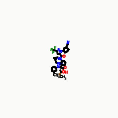 CSCC[C@@](C(=O)O)(c1cccc(NC(=O)c2cc(C(F)(F)F)nn2-c2cccc(C#N)c2)c1)N(NCC1CC1)c1cccc(C)c1